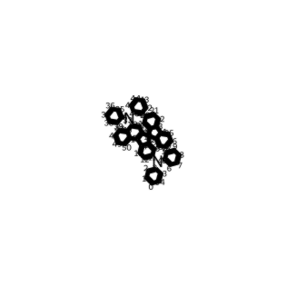 c1ccc(N(c2ccccc2)c2ccc3c(c2)C2(c4ccccc4-c4ccccc42)c2cc(N(c4ccccc4)c4ccccc4)c4ccccc4c2-3)cc1